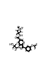 C[C@H](n1nc(-c2cccc(OC(F)F)c2)c2ncc(C(=O)NC3(C)CS(=O)(=O)C3)cc21)C(C)(C)O